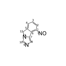 O=Nc1cccc2c1-c1cncn1C2